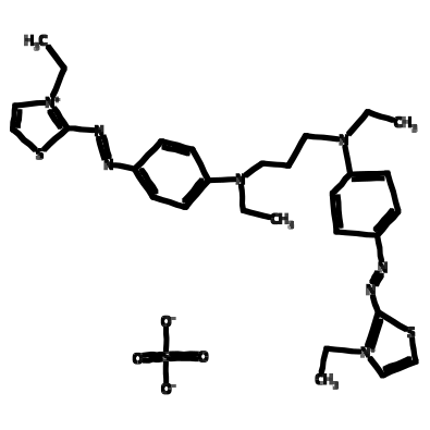 CCN(CCCN(CC)c1ccc(N=Nc2scc[n+]2CC)cc1)c1ccc(N=Nc2scc[n+]2CC)cc1.O=S(=O)([O-])[O-]